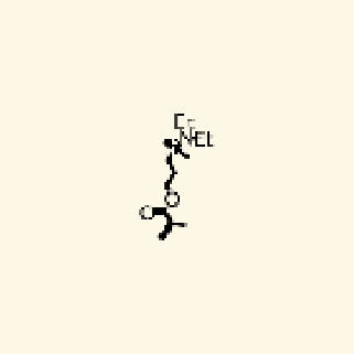 C=C(C)C(=O)OCCC[Si](C)(C)N(CC)CC